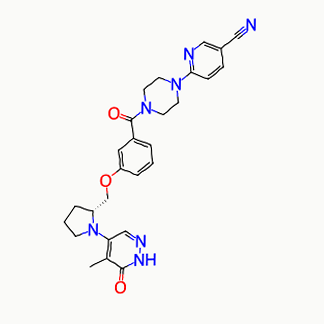 Cc1c(N2CCC[C@@H]2COc2cccc(C(=O)N3CCN(c4ccc(C#N)cn4)CC3)c2)cn[nH]c1=O